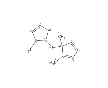 CCC1=[C]([Hf][C]2(C)C=CC=C2C)CC=C1